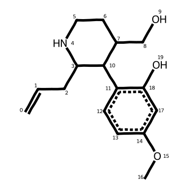 C=CCC1NCCC(CO)C1c1ccc(OC)cc1O